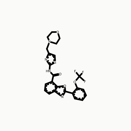 O=C(Nc1nc(CN2CCOCC2)cs1)c1cccc2nc(-c3ccccc3OC(F)(F)F)oc12